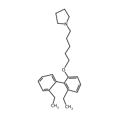 CCc1ccccc1-c1c(CC)cccc1OCCCCCN1CCCC1